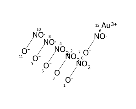 O=[N+]([O-])[O-].O=[N+]([O-])[O-].O=[N+]([O-])[O-].O=[N+][O-].O=[N+][O-].O=[N+][O-].[Au+3]